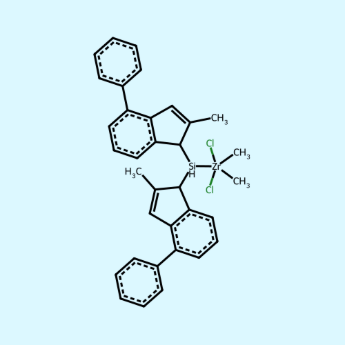 CC1=Cc2c(-c3ccccc3)cccc2C1[SiH](C1C(C)=Cc2c(-c3ccccc3)cccc21)[Zr]([CH3])([CH3])([Cl])[Cl]